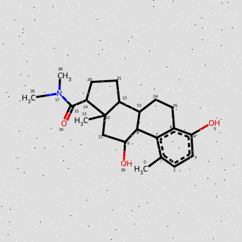 Cc1ccc(O)c2c1C1C(O)CC3(C)C(C(=O)N(C)C)CCC3C1CC2